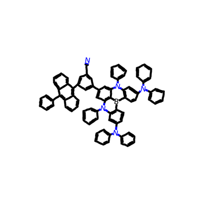 N#Cc1cc(-c2cc3c4c(c2)N(c2ccccc2)c2cc(N(c5ccccc5)c5ccccc5)ccc2B4c2ccc(N(c4ccccc4)c4ccccc4)cc2N3c2ccccc2)cc(-c2c3ccccc3c(-c3ccccc3)c3ccccc23)c1